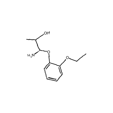 CCOc1ccccc1OC(N)C(C)O